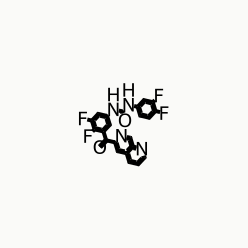 O=C(Nc1ccc(F)c(F)c1)Nc1cc(F)c(F)c(C(=O)c2cc3cccnc3cn2)c1